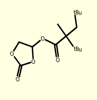 CC(C)(C)CC(C)(C(=O)OC1COC(=O)O1)C(C)(C)C